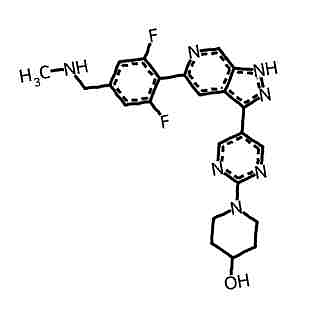 CNCc1cc(F)c(-c2cc3c(-c4cnc(N5CCC(O)CC5)nc4)n[nH]c3cn2)c(F)c1